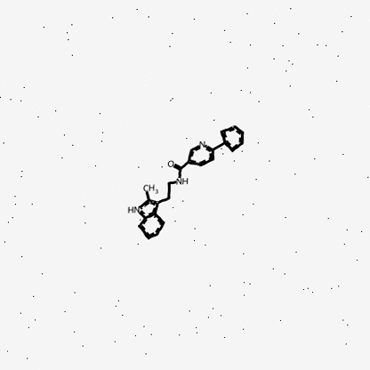 Cc1[nH]c2ccccc2c1CCNC(=O)c1ccc(-c2ccccc2)nc1